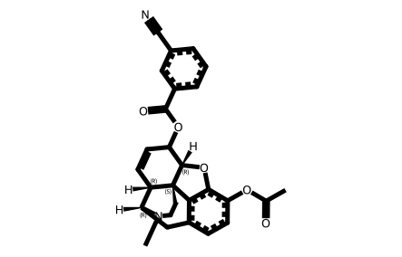 CC(=O)Oc1ccc2c3c1O[C@H]1C(OC(=O)c4cccc(C#N)c4)C=C[C@H]4[C@@H](C2)N(C)CC[C@]314